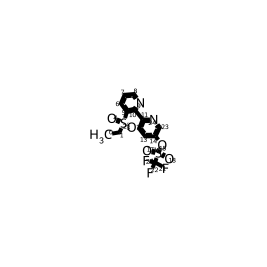 CCS(=O)(=O)c1cccnc1-c1ccc(OS(=O)(=O)C(F)(F)F)cn1